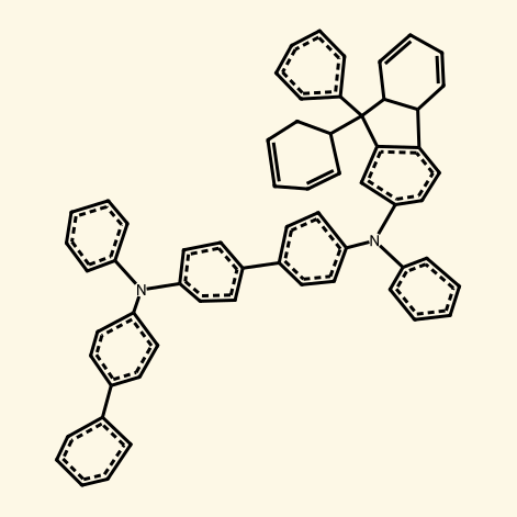 C1=CCC(C2(c3ccccc3)c3cc(N(c4ccccc4)c4ccc(-c5ccc(N(c6ccccc6)c6ccc(-c7ccccc7)cc6)cc5)cc4)ccc3C3C=CC=CC32)C=C1